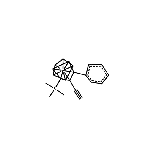 C#C[C]12[C]3(c4ccccc4)[CH]4[CH]5[C]1([Si](C)(C)C)[Fe]45321678[CH]2[CH]1[CH]6[CH]7[CH]28